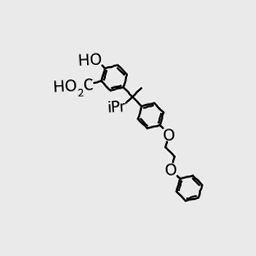 CC(C)C(C)(c1ccc(OCCOc2ccccc2)cc1)c1ccc(O)c(C(=O)O)c1